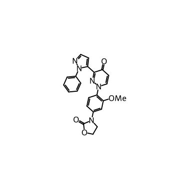 COc1cc(N2CCOC2=O)ccc1-n1ccc(=O)c(-c2ccnn2-c2ccccc2)n1